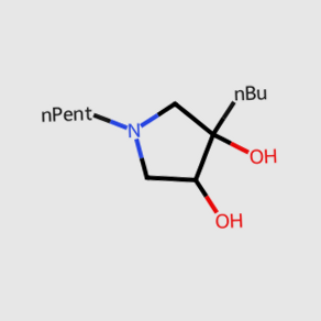 [CH2]CCCC1(O)CN(CCCCC)CC1O